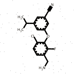 CC(C)c1cc(C#N)cc(Oc2c(Cl)ccc(CN)c2F)c1